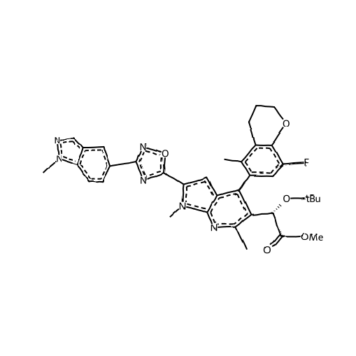 COC(=O)[C@@H](OC(C)(C)C)c1c(C)nc2c(cc(-c3nc(-c4ccc5c(cnn5C)c4)no3)n2C)c1-c1cc(F)c2c(c1C)CCCO2